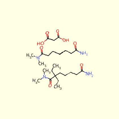 CCC(CC)(CCCCC(N)=O)C(=O)N(C)C.CN(C)C(=O)CCCCCC(N)=O.O=C(O)CC(=O)O